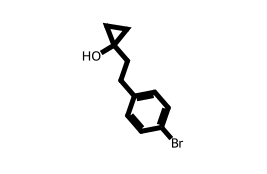 OC1(CCc2ccc(Br)cc2)CC1